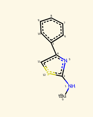 CC(C)(C)Nc1nc(-c2ccccc2)cs1